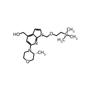 C[C@@H]1COCCN1c1cc(CO)c2ccn(COCC[Si](C)(C)C)c2n1